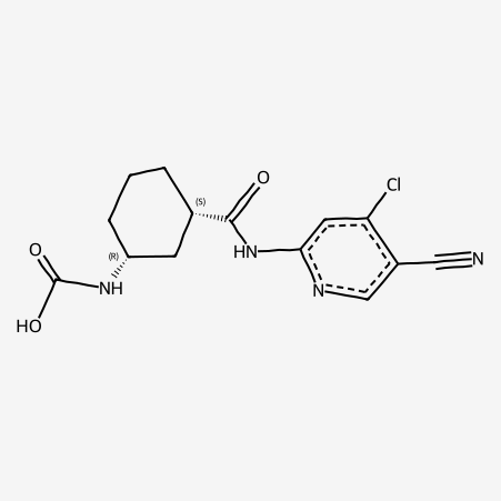 N#Cc1cnc(NC(=O)[C@H]2CCC[C@@H](NC(=O)O)C2)cc1Cl